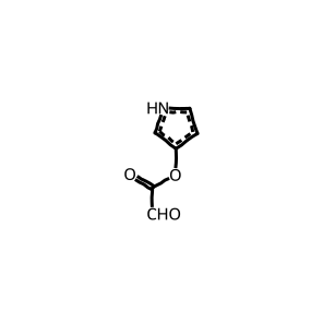 O=CC(=O)Oc1cc[nH]c1